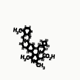 Cc1cccc(F)c1CN1CCc2cc(-c3c(C)nc(C)c(CC(=O)O)c3N3CCC4(CCC4)CC3)ccc2C1